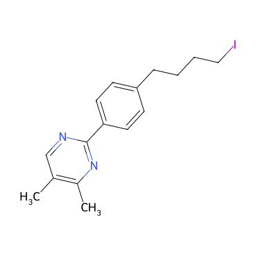 Cc1cnc(-c2ccc(CCCCI)cc2)nc1C